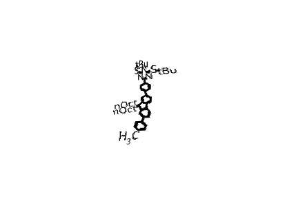 CCCCCCCCC1(CCCCCCCC)c2cc(-c3ccc(C)cc3)ccc2-c2ccc(-c3ccc(-c4nc(SC(C)(C)C)nc(SC(C)(C)C)n4)cc3)cc21